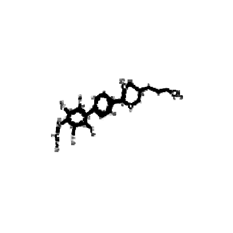 CCCCC1COC(c2ccc(-c3c(F)c(F)c(N=C=S)c(F)c3F)cc2)OC1